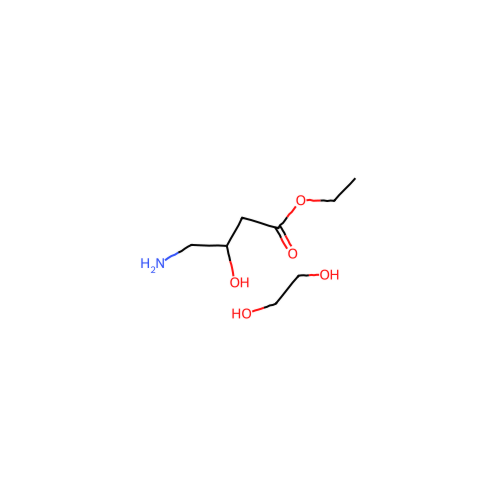 CCOC(=O)CC(O)CN.OCCO